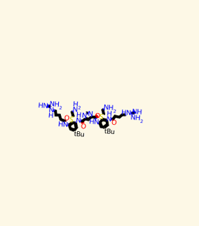 CC(C)(C)c1cc(NC(=O)CCCCNC(=N)N)c(SCCN)c(NC(=O)c2cc(C(=O)Nc3cc(C(C)(C)C)cc(NC(=O)CCCCNC(=N)N)c3SCCN)ncn2)c1